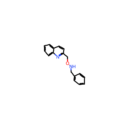 c1ccc(CNOCc2ccc3ccccc3n2)cc1